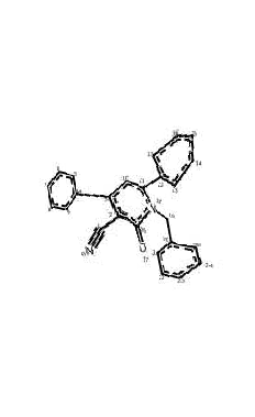 N#Cc1c(-c2ccccc2)cc(-c2ccccc2)n(Cc2ccccc2)c1=O